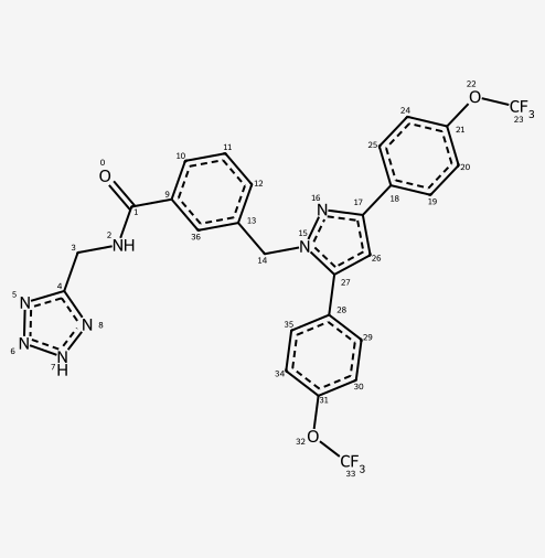 O=C(NCc1nn[nH]n1)c1cccc(Cn2nc(-c3ccc(OC(F)(F)F)cc3)cc2-c2ccc(OC(F)(F)F)cc2)c1